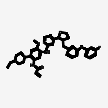 C=CC(=O)Nc1cc(Nc2cc(N3OCCC3Cc3cccc(Oc4cccc(F)c4)c3)ncn2)c(OC)cc1N1CCN(CC)CC1